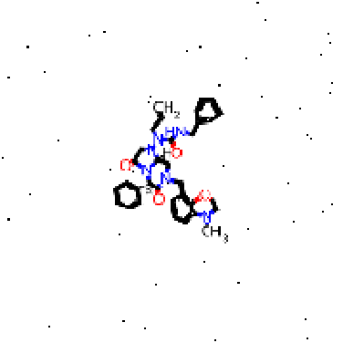 C=CCN(C(=O)NCc1ccccc1)N1CC(=O)N2[C@@H](c3ccccc3)C(=O)N(Cc3cccc4c3OCCN4C)C[C@@H]21